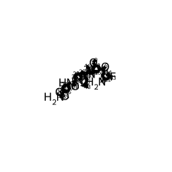 COc1cc(C(=O)N2C[C@H](N)C[C@@H](F)C2)cc2nc(-c3cc4ccc(C(=O)Nc5ccc(S(N)(=O)=O)cc5)nc4n3CC3CC3)n(C)c12